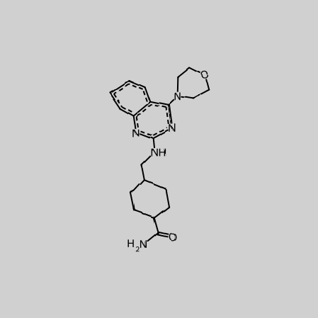 NC(=O)C1CCC(CNc2nc(N3CCOCC3)c3ccccc3n2)CC1